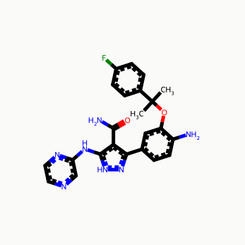 CC(C)(Oc1cc(-c2n[nH]c(Nc3cnccn3)c2C(N)=O)ccc1N)c1ccc(F)cc1